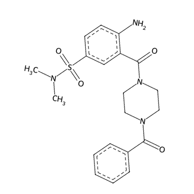 CN(C)S(=O)(=O)c1ccc(N)c(C(=O)N2CCN(C(=O)c3ccccc3)CC2)c1